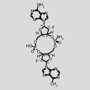 BP1(=O)OC[C@H]2O[C@@H](n3cnc4c(C)ncnc43)[C@H](F)[C@@H]2OP(=O)(O)OC[C@H]2O[C@@H](n3cnc4c(N)ncnc43)[C@H](F)[C@@H]2O1